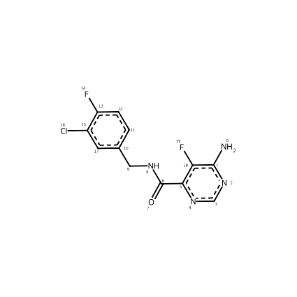 Nc1ncnc(C(=O)NCc2ccc(F)c(Cl)c2)c1F